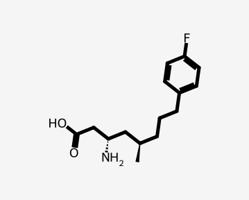 C[C@H](CCCc1ccc(F)cc1)C[C@H](N)CC(=O)O